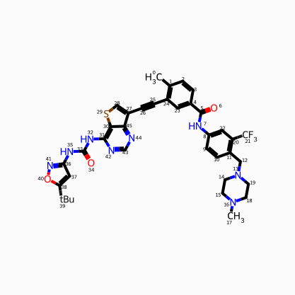 Cc1ccc(C(=O)Nc2ccc(CN3CCN(C)CC3)c(C(F)(F)F)c2)cc1C#Cc1csc2c(NC(=O)Nc3cc(C(C)(C)C)on3)ncnc12